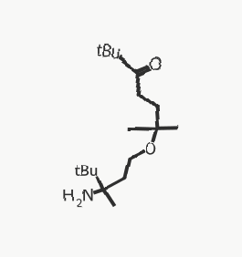 CC(C)(CCC(=O)C(C)(C)C)OCCC(C)(N)C(C)(C)C